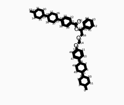 CC1CCC(C2CCC(c3ccc(OCOCC(OC(=O)c4ccc(C5CCC(C6CCC(C)CC6)CC5)cc4)c4ccccc4)cc3)CC2)CC1